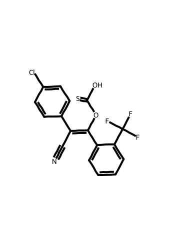 N#C/C(=C(/OC(O)=S)c1ccccc1C(F)(F)F)c1ccc(Cl)cc1